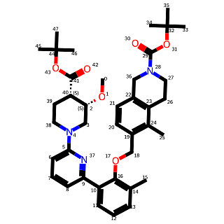 CO[C@@H]1CN(c2cccc(-c3cccc(C)c3OCc3ccc4c(c3C)CCN(C(=O)OC(C)(C)C)C4)n2)CC[C@@H]1C(=O)OC(C)(C)C